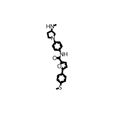 CNC1CCN(c2ccc(NC(=O)c3ccc(-c4ccc(SC)cc4)o3)cc2)C1